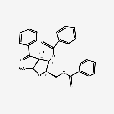 CC(=O)OC1O[C@H](COC(=O)c2ccccc2)[C@@H](OC(=O)c2ccccc2)[C@]1(O)C(=O)c1ccccc1